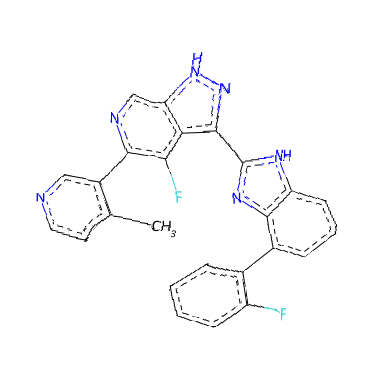 Cc1ccncc1-c1ncc2[nH]nc(-c3nc4c(-c5ccccc5F)cccc4[nH]3)c2c1F